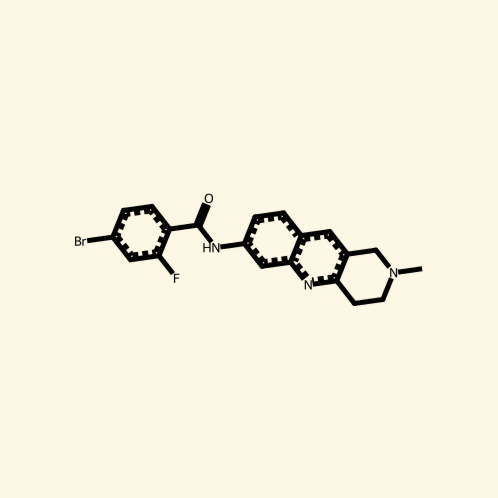 CN1CCc2nc3cc(NC(=O)c4ccc(Br)cc4F)ccc3cc2C1